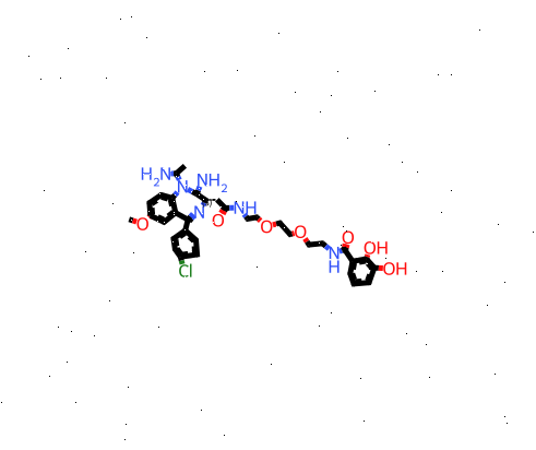 COc1ccc2c(c1)C(c1ccc(Cl)cc1)=N[C@@H](CC(=O)NCCOCCOCCNC(=O)c1cccc(O)c1O)C(N)N2C(C)N